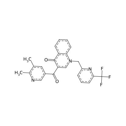 Cc1cc(C(=O)c2cn(Cc3cccc(C(F)(F)F)n3)c3ccccc3c2=O)cnc1C